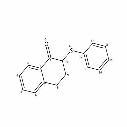 O=C1c2ccccc2CCC1Sc1ccccc1